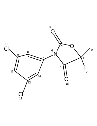 CC1(I)OC(=O)N(c2cc(Cl)cc(Cl)c2)C1=O